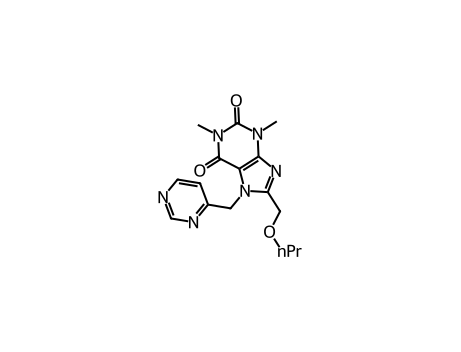 CCCOCc1nc2c(c(=O)n(C)c(=O)n2C)n1Cc1ccncn1